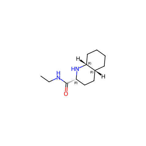 CCNC(=O)[C@H]1CC[C@H]2CCCC[C@H]2N1